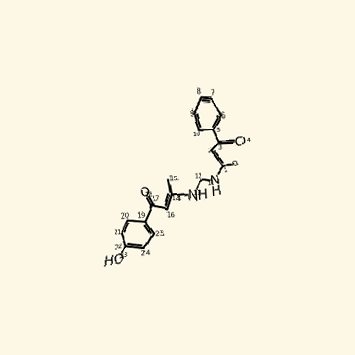 C/C(=C\C(=O)c1ccccc1)NCN/C(C)=C/C(=O)c1ccc(O)cc1